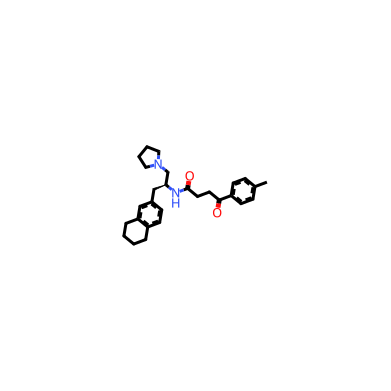 Cc1ccc(C(=O)CCC(=O)N[C@@H](Cc2ccc3c(c2)CCCC3)CN2CCCC2)cc1